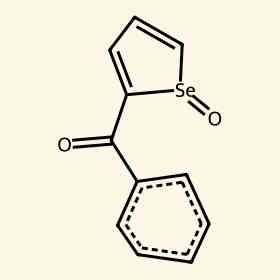 O=C(C1=CC=C[Se]1=O)c1ccccc1